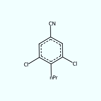 CCCc1c(Cl)cc(C#N)cc1Cl